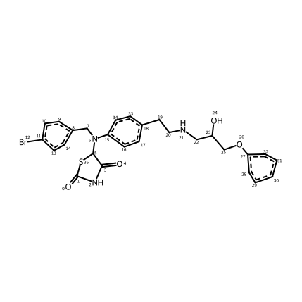 O=C1NC(=O)C(N(Cc2ccc(Br)cc2)c2ccc(CCNCC(O)COc3ccccc3)cc2)S1